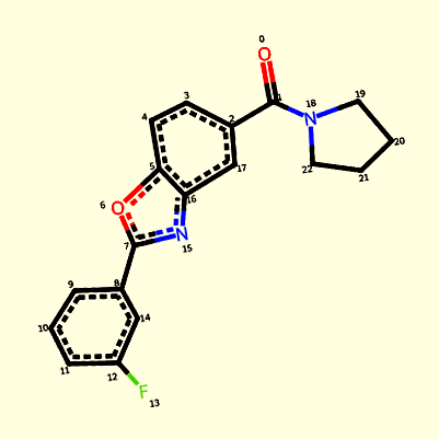 O=C(c1ccc2oc(-c3cccc(F)c3)nc2c1)N1CCCC1